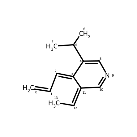 C=C/C=c1/c(C(C)C)cnc/c1=C/C